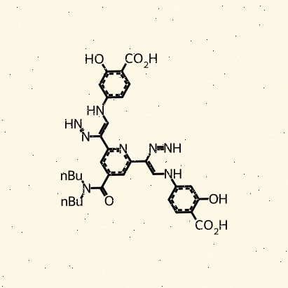 CCCCN(CCCC)C(=O)c1cc(/C(=C/Nc2ccc(C(=O)O)c(O)c2)N=N)nc(/C(=C/Nc2ccc(C(=O)O)c(O)c2)N=N)c1